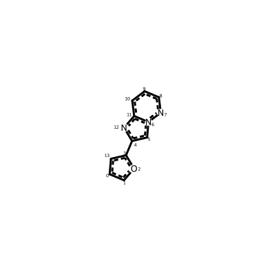 c1coc(-c2cn3ncccc3n2)c1